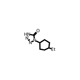 CCC1CCC(n2nn[nH]c2=O)CC1